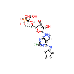 CCC(CO)(OC[C@H]1O[C@@H](n2ncc3c(NC4CCCC4)nc(Cl)nc32)[C@H](O)[C@@H]1O)P(=O)(O)O